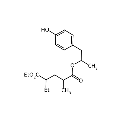 CCOC(=O)C(CC)CC(C)C(=O)OC(C)Cc1ccc(O)cc1